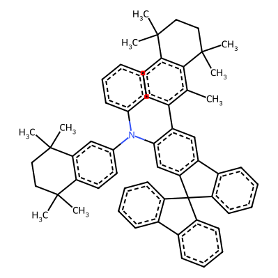 Cc1c(-c2cc3c(cc2N(c2ccccc2)c2ccc4c(c2)C(C)(C)CCC4(C)C)C2(c4ccccc4-c4ccccc42)c2ccccc2-3)ccc2c1C(C)(C)CCC2(C)C